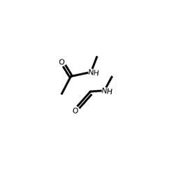 CNC(C)=O.CNC=O